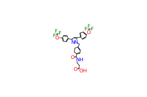 O=C(O)CCNC(=O)C1=CC=C(Cn2nc(-c3ccc(OC(F)(F)F)cc3)cc2-c2ccc(OC(F)(F)F)cc2)CC1